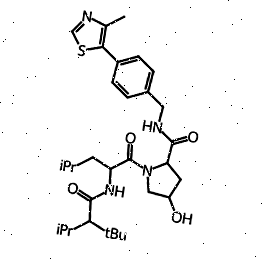 Cc1ncsc1-c1ccc(CNC(=O)C2CC(O)CN2C(=O)C(CC(C)C)NC(=O)C(C(C)C)C(C)(C)C)cc1